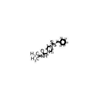 CC(C)NC(=O)CN1CCN(C(=S)SCc2ccccc2)CC1